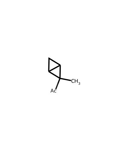 CC(=O)C1(C)C2CC21